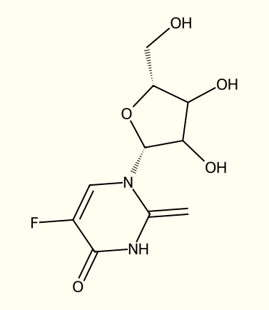 C=C1NC(=O)C(F)=CN1[C@@H]1O[C@H](CO)C(O)C1O